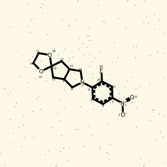 O=[N+]([O-])c1ccc(N2CC3CC4(CC3C2)OCCO4)c(F)c1